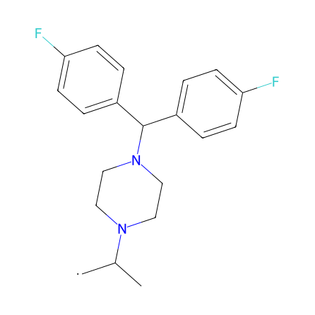 [CH2]C(C)N1CCN(C(c2ccc(F)cc2)c2ccc(F)cc2)CC1